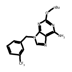 CCCCOc1nc(N)c2ncn(Cc3cccc(C(F)(F)F)c3)c2n1